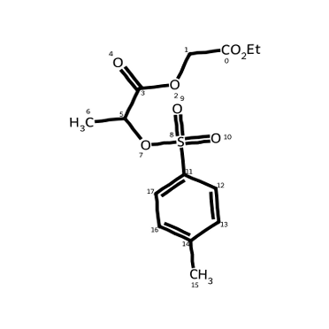 CCOC(=O)COC(=O)C(C)OS(=O)(=O)c1ccc(C)cc1